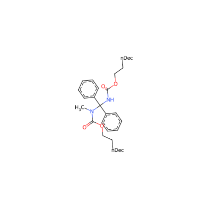 CCCCCCCCCCCCOC(=O)NC(c1ccccc1)(c1ccccc1)N(C)C(=O)OCCCCCCCCCCCC